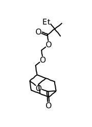 CCC(C)(C)C(=O)OCOCC1C2CC3CC(C2)C(=O)OC1C3